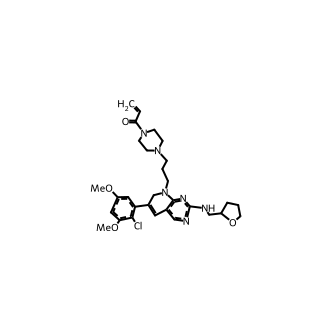 C=CC(=O)N1CCN(CCCN2CC(c3cc(OC)cc(OC)c3Cl)=Cc3cnc(NCC4CCCO4)nc32)CC1